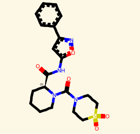 O=C(Nc1cc(-c2ccccc2)no1)[C@@H]1CCCCN1C(=O)N1CCS(=O)(=O)CC1